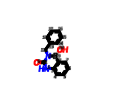 O=C1Nc2ccccc2B(O)N1Cc1ccccc1